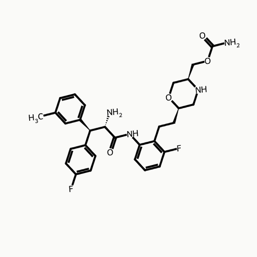 Cc1cccc([C@H](c2ccc(F)cc2)[C@H](N)C(=O)Nc2cccc(F)c2CC[C@@H]2CN[C@H](COC(N)=O)CO2)c1